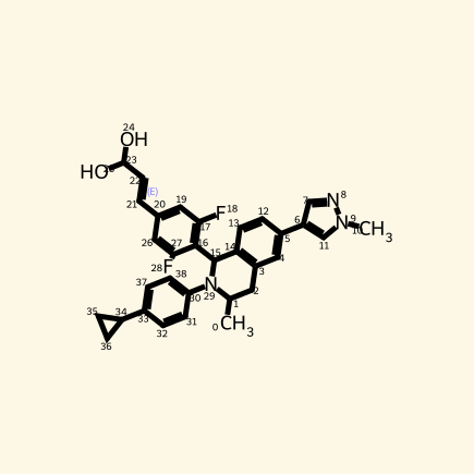 CC1Cc2cc(-c3cnn(C)c3)ccc2C(c2c(F)cc(/C=C/C(O)O)cc2F)N1c1ccc(C2CC2)cc1